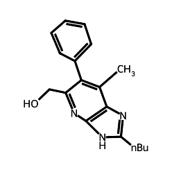 CCCCc1nc2c(C)c(-c3ccccc3)c(CO)nc2[nH]1